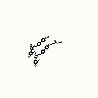 CCn1cc(-c2ccc(Cl)cc2Cl)nc1C=Cc1ccc(-c2ccc(O)cc2)cc1.CCn1cc(-c2ccc(Cl)cc2Cl)nc1C=Cc1ccc(-c2ccc(OCCCC(=O)OC)cc2)cc1